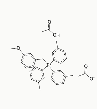 CC(=O)O.CC(=O)[O-].COc1cccc(C[P+](c2cccc(C)c2)(c2cccc(C)c2)c2cccc(C)c2)c1